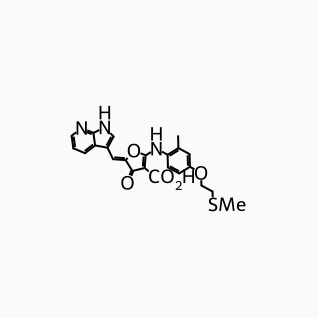 CSCCOc1ccc(NC2=C(C(=O)O)C(=O)/C(=C/c3c[nH]c4ncccc34)O2)c(C)c1